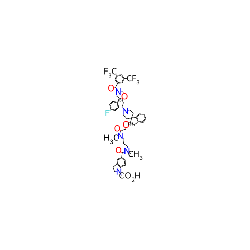 CN(CCCN(C)C(=O)c1ccc2c(c1)CCN2C(=O)O)C(=O)CO[C@H]1Cc2ccccc2C12CCN(CC[C@]1(c3ccc(F)cc3)CN(C(=O)c3cc(C(F)(F)F)cc(C(F)(F)F)c3)CO1)CC2